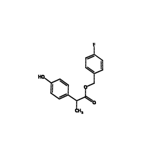 CC(C(=O)OCc1ccc(F)cc1)c1ccc(O)cc1